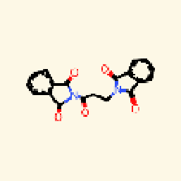 O=C1c2ccccc2C(=O)N1CCC(=O)N1C(=O)c2ccccc2C1=O